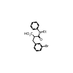 CCN(C(=O)C(Cc1cccc(Br)c1)C(=O)O)c1ccccc1